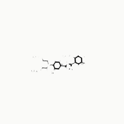 COCCN(CCOC)c1ccc(-c2nc(-c3cc(F)ccc3OC)no2)cc1[N+](=O)[O-]